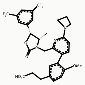 COc1ccc(CCC(=O)O)cc1-c1ccc(N2CCC2)nc1CN1C(=O)O[C@H](c2cc(C(F)(F)F)cc(C(F)(F)F)c2)[C@@H]1C